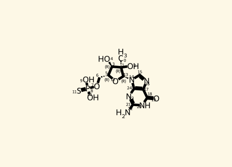 C[C@@]1(O)[C@H](O)[C@@H](COP(O)(O)=S)O[C@H]1n1cnc2c(=O)[nH]c(N)nc21